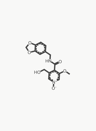 COc1c[n+]([O-])cc(CO)c1C(=O)NCc1ccc2c(c1)OCO2